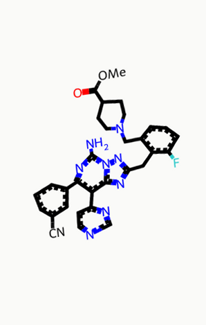 COC(=O)C1CCN(Cc2cccc(F)c2Cc2nc3c(-c4ccncn4)c(-c4cccc(C#N)c4)nc(N)n3n2)CC1